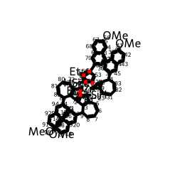 CCC1=CC2=C(C=CC=CC2c2ccc3cc(OC)ccc3c2)[C]12[SiH](C)[C]1(C(CC)=CC3=C1C=CC=CC3c1ccc3cc(OC)ccc3c1)[Zr]21([Cl])([Cl])[C]2(C(CC)=CC3=C2C=CC=CC3c2ccc3cc(OC)ccc3c2)[SiH](C)[C]12C(CC)=CC1=C2C=CC=CC1c1ccc2cc(OC)ccc2c1